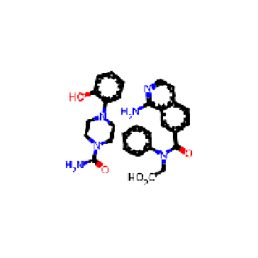 NC(=O)N1CCN(c2ccccc2O)CC1.Nc1nccc2ccc(C(=O)N(CC(=O)O)c3ccccc3)cc12